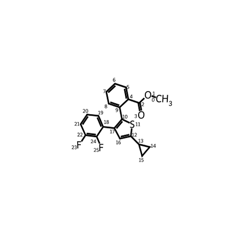 COC(=O)c1ccccc1-c1sc(C2CC2)cc1-c1cccc(F)c1F